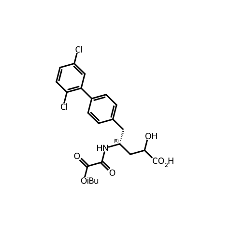 CC(C)COC(=O)C(=O)N[C@H](Cc1ccc(-c2cc(Cl)ccc2Cl)cc1)CC(O)C(=O)O